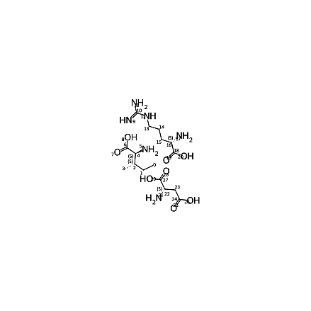 CC[C@H](C)[C@H](N)C(=O)O.N=C(N)NCCC[C@H](N)C(=O)O.N[C@@H](CC(=O)O)C(=O)O